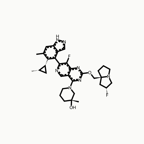 Cc1cc2[nH]ncc2c(-c2ncc3c(N4CCC[C@@](C)(O)C4)nc(OC[C@@]45CCCN4C[C@H](F)C5)nc3c2F)c1[C@@H]1C[C@@H]1C